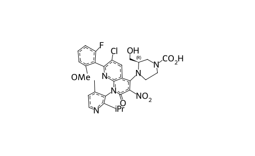 COc1cccc(F)c1-c1nc2c(cc1Cl)c(N1CCN(C(=O)O)C[C@@H]1CO)c([N+](=O)[O-])c(=O)n2-c1c(C)ccnc1C(C)C